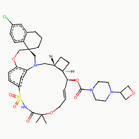 CC1(C)OC/C=C/[C@H](OC(=O)N2CCN(C3COC3)CC2)[C@@H]2CC[C@H]2CN2C[C@@]3(CCCc4cc(Cl)ccc43)COc3ccc(cc32)S(=O)(=O)NC1=O